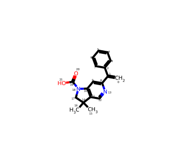 C=C(c1ccccc1)c1cc2c(cn1)C(C)(C)CN2C(=O)O